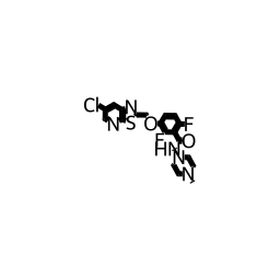 CN1CCN(NC(=O)c2c(F)ccc(OCc3nc4cc(Cl)cnc4s3)c2F)CC1